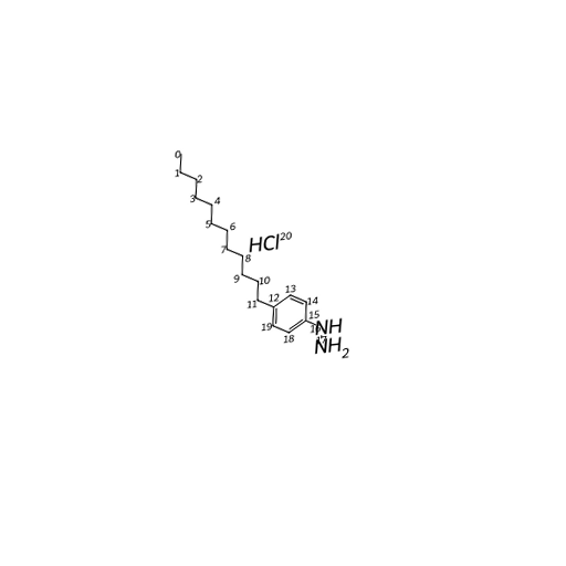 CCCCCCCCCCCCc1ccc(NN)cc1.Cl